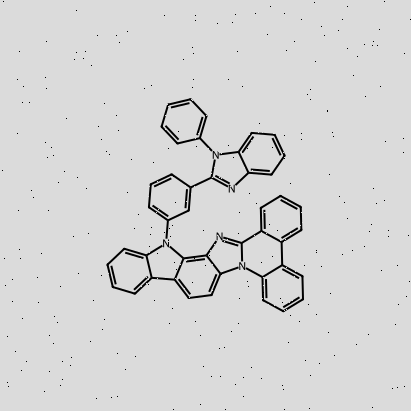 c1ccc(-n2c(-c3cccc(-n4c5ccccc5c5ccc6c(nc7c8ccccc8c8ccccc8n67)c54)c3)nc3ccccc32)cc1